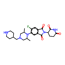 CC1CN(CC2CCNCC2)CC(C)N1c1cc2c(cc1F)C(=O)N(C1CCC(=O)NC1=O)C2=O